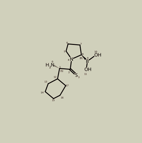 N[C@H](C(=S)N1CCC[C@H]1B(O)O)C1CCCCC1